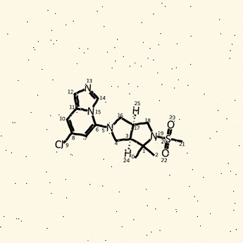 CC1(C)[C@H]2CN(c3cc(Cl)cc4cncn34)C[C@H]2CN1S(C)(=O)=O